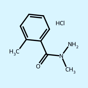 Cc1ccccc1C(=O)N(C)N.Cl